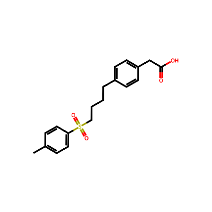 Cc1ccc(S(=O)(=O)CCCCc2ccc(CC(=O)O)cc2)cc1